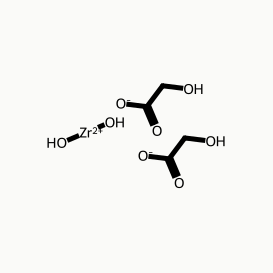 O=C([O-])CO.O=C([O-])CO.[OH][Zr+2][OH]